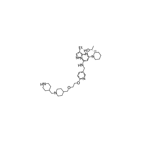 CCc1cnn2c(NCc3ccc(OCCOCC4CCN(CC5CCNCC5)CC4)nc3)cc(N3CCCC[C@H]3C(C)O)nc12